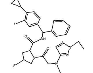 CCn1ncc(N(C)CC(=O)N2CC(F)CC2C(=O)NC(c2ccccc2)c2ccc(C3CC3)c(F)c2)n1